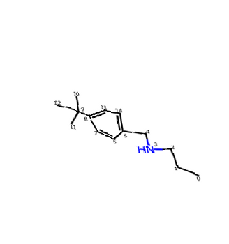 CCCNCc1ccc(C(C)(C)C)cc1